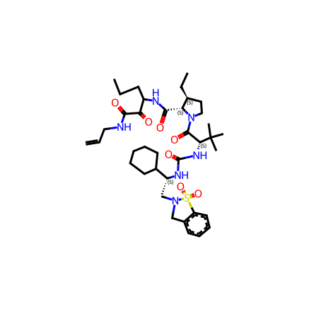 C=CCNC(=O)C(=O)C(CCC)NC(=O)[C@@H]1[C@@H](CC)CCN1C(=O)[C@@H](NC(=O)N[C@H](CN1Cc2ccccc2S1(=O)=O)C1CCCCC1)C(C)(C)C